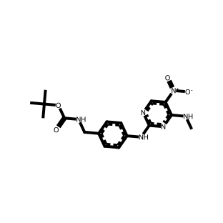 CNc1nc(Nc2ccc(CNC(=O)OC(C)(C)C)cc2)ncc1[N+](=O)[O-]